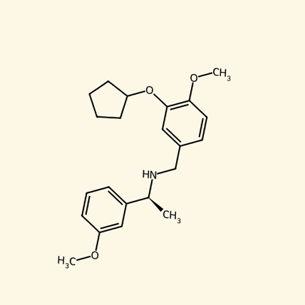 COc1cccc([C@H](C)NCc2ccc(OC)c(OC3CCCC3)c2)c1